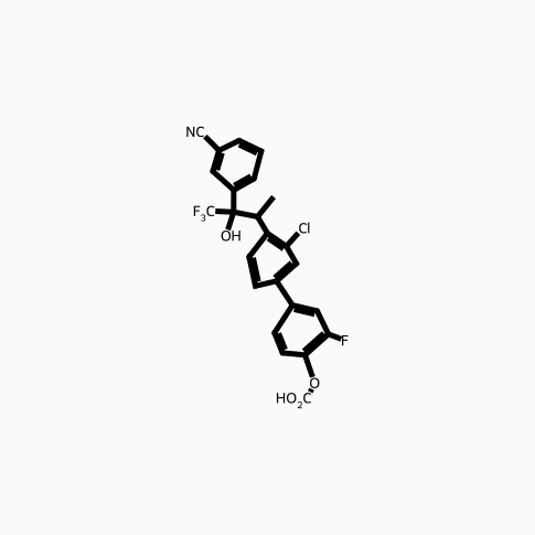 CC(c1ccc(-c2ccc(OC(=O)O)c(F)c2)cc1Cl)C(O)(c1cccc(C#N)c1)C(F)(F)F